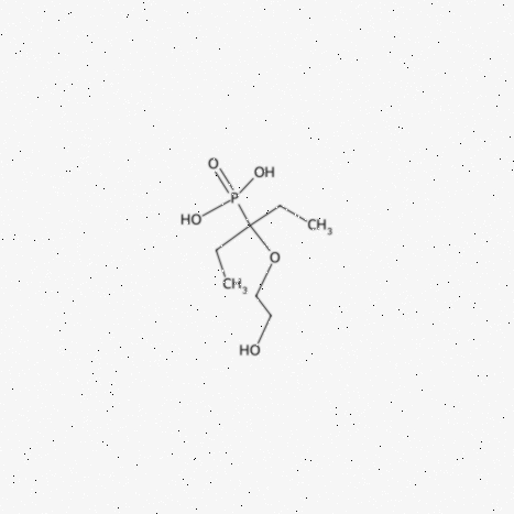 CCC(CC)(OCCO)P(=O)(O)O